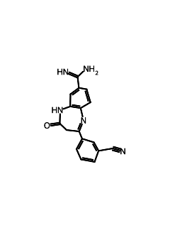 N#Cc1cccc(C2=Nc3ccc(C(=N)N)cc3NC(=O)C2)c1